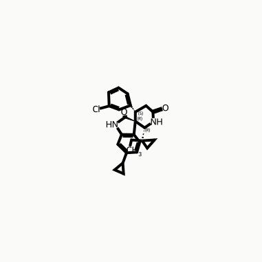 CCC1([C@H]2NC(=O)C[C@@H](c3cccc(Cl)c3)[C@]23C(=O)Nc2cc(C4CC4)ccc23)CC1